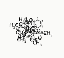 Cc1ccccc1C(C1(P)C2(C)CC3(C)OC(C)(CC1(C)O3)O2)C1(P)C2(C)CC3(C)OC(C)(CC1(C)O3)O2